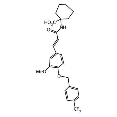 COc1cc(C=CC(=O)NC2(C(=O)O)CCCCC2)ccc1OCc1ccc(C(F)(F)F)cc1